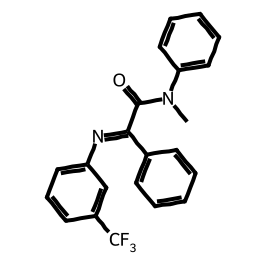 CN(C(=O)C(=Nc1cccc(C(F)(F)F)c1)c1ccccc1)c1ccccc1